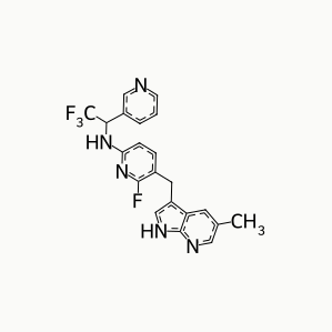 Cc1cnc2[nH]cc(Cc3ccc(NC(c4cccnc4)C(F)(F)F)nc3F)c2c1